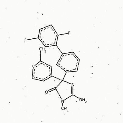 Cc1cc(C2(c3cccc(-c4cc(F)ccc4F)c3)N=C(N)N(C)C2=O)ccn1